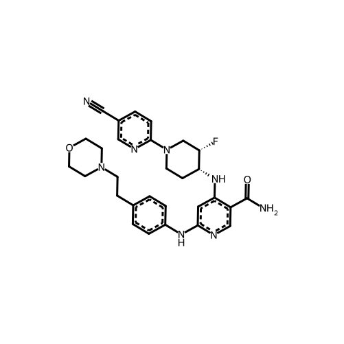 N#Cc1ccc(N2CC[C@@H](Nc3cc(Nc4ccc(CCN5CCOCC5)cc4)ncc3C(N)=O)[C@@H](F)C2)nc1